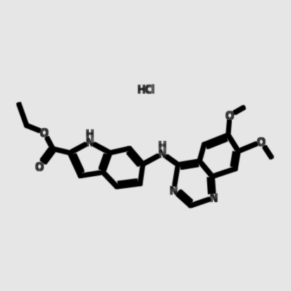 CCOC(=O)c1cc2ccc(Nc3ncnc4cc(OC)c(OC)cc34)cc2[nH]1.Cl